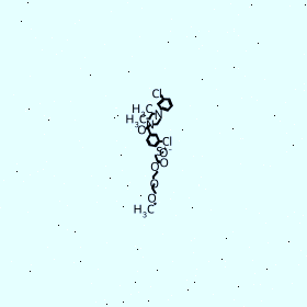 CCOCCOCCOC(=O)C[S+]([O-])c1ccc(C(=O)N2CCN(c3cccc(Cl)c3)[C@@H](C)[C@@H]2C)cc1Cl